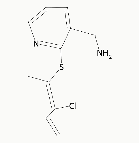 C=C/C(Cl)=C(\C)Sc1ncccc1CN